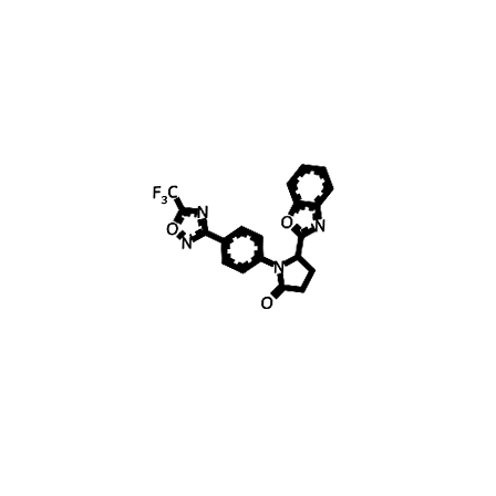 O=C1CCC(c2nc3ccccc3o2)N1c1ccc(-c2noc(C(F)(F)F)n2)cc1